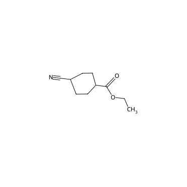 CCOC(=O)C1CCC(C#N)CC1